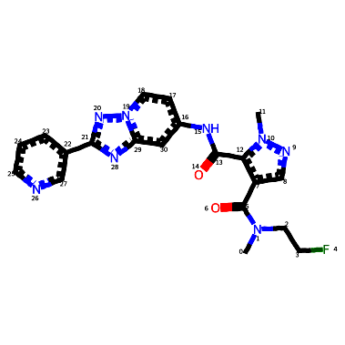 CN(CCF)C(=O)c1cnn(C)c1C(=O)Nc1ccn2nc(-c3cccnc3)nc2c1